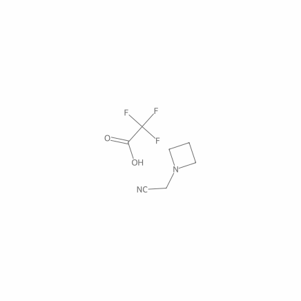 N#CCN1CCC1.O=C(O)C(F)(F)F